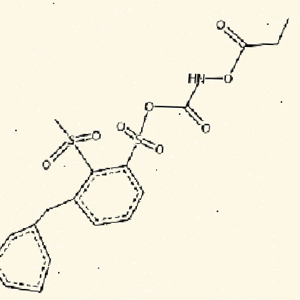 CCC(=O)ONC(=O)OS(=O)(=O)c1cccc(Cc2ccccc2)c1S(C)(=O)=O